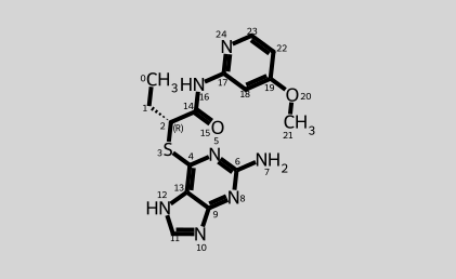 CC[C@@H](Sc1nc(N)nc2nc[nH]c12)C(=O)Nc1cc(OC)ccn1